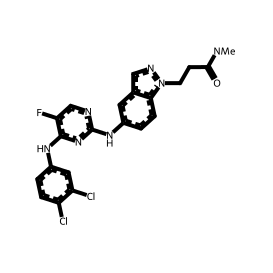 CNC(=O)CCn1ncc2cc(Nc3ncc(F)c(Nc4ccc(Cl)c(Cl)c4)n3)ccc21